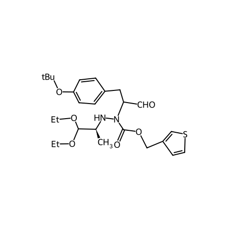 CCOC(OCC)[C@H](C)NN(C(=O)OCc1ccsc1)C(C=O)Cc1ccc(OC(C)(C)C)cc1